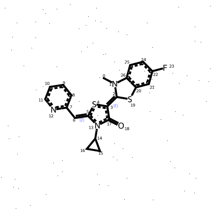 CN1/C(=c2\s/c(=C\c3ccccn3)n(C3CC3)c2=O)Sc2cc(F)ccc21